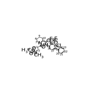 CN(CCC(=O)N1CCCCC1C(=O)NC1=CC=C(c2ccccc2)C(Cl)(OC(F)(F)F)C1)S(C)(=O)=O